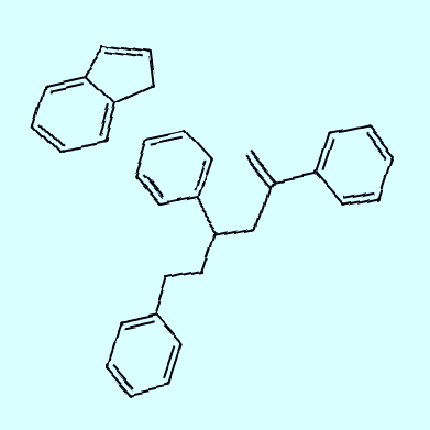 C1=Cc2ccccc2C1.C=C(CC(CCc1ccccc1)c1ccccc1)c1ccccc1